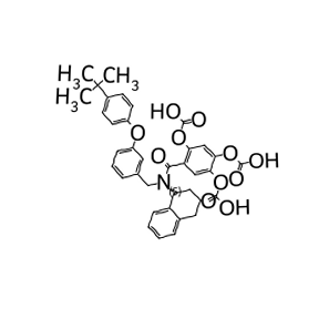 CC(C)(C)c1ccc(Oc2cccc(CN(C(=O)c3cc(OC(=O)O)c(OC(=O)O)cc3OC(=O)O)[C@H]3CCCc4ccccc43)c2)cc1